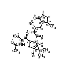 CC(C)(C)[C@H](NC(=O)C(F)(F)F)C(=O)N1C[C@H]2[C@@H]([C@H]1C(=O)N[C@H](C#N)C[C@H]1C(=O)NC[C@H]1C(F)(F)F)C2(C)C